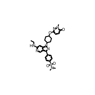 CCNc1cc2c(cn1)c(-c1ccc(S(=O)(=O)N(C)C)cc1)nn2C1CCC(Oc2ccc(=O)n(C)n2)CC1